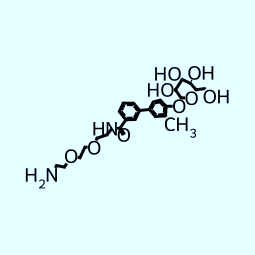 Cc1cc(-c2cccc(C(=O)NCCOCCOCCN)c2)ccc1O[C@H]1OC(CO)[C@@H](O)C(O)C1O